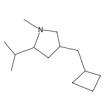 CC(C)C1CC(CC2CCC2)CN1C